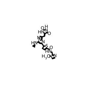 Cn1ccnc1CNC(=O)C1=CCC(c2cc(NC3CC3)n3ncc(/C=C4\NC(=O)NC4=O)c3n2)S1